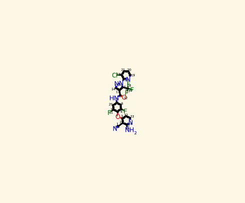 N#Cc1c(Oc2c(F)cc(NC(=O)c3cnn(-c4ncccc4Cl)c3C(F)(F)F)cc2F)ccnc1N